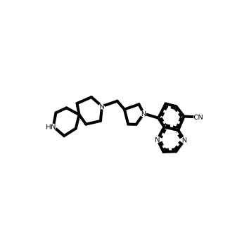 N#Cc1ccc(N2CCC(CN3CCC4(CCNCC4)CC3)C2)c2nccnc12